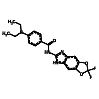 CCN(CC)c1ccc(C(=O)Nc2nc3cc4c(cc3[nH]2)OC(F)(F)O4)cc1